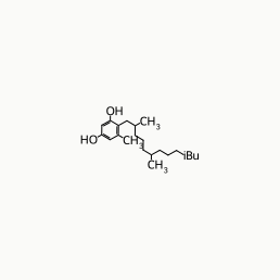 CCC(C)CCCC(C)CCCC(C)Cc1c(C)cc(O)cc1O